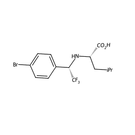 CC(C)C[C@H](N[C@@H](c1ccc(Br)cc1)C(F)(F)F)C(=O)O